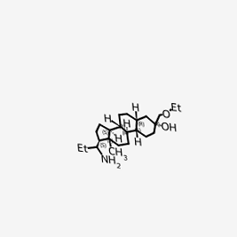 CCOC[C@@]1(O)CC[C@H]2[C@H](CC[C@@H]3[C@@H]2CC[C@]2(C)[C@@H](C(N)CC)CC[C@@H]32)C1